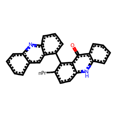 CCCc1ccc2[nH]c3ccccc3c(=O)c2c1-c1cccc2nc3ccccc3cc12